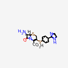 N[C@@H]1C(=O)N2C(C(=O)O)=C(Sc3ccc(-c4ncc[nH]4)cc3)CS[C@H]12